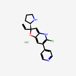 C=CC1([C@H]2CCCN2)C=C2NC(Cl)=C(c3ccncc3)C=C2O1.Cl